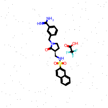 N=C(N)c1cccc(CN2CC[C@@H](CNS(=O)(=O)c3ccc4ccccc4c3)C2=O)c1.O=C(O)C(F)(F)F